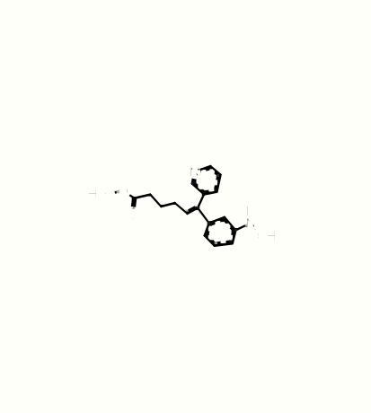 CNc1cccc(/C(=C/CCCC(=O)OC)c2cccnc2)c1